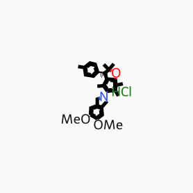 COc1cc2c(cc1OC)CN(c1c(C)c(C)c3c(c1C)[C@@H](c1ccc(C)cc1)C(C)(C)O3)C2.Cl